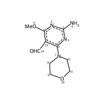 COc1nc(N)nc(N2CCOCC2)c1C=O